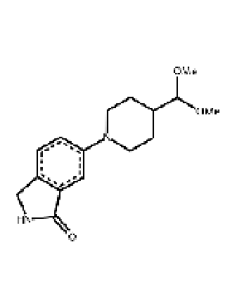 COC(OC)C1CCN(c2ccc3c(c2)C(=O)NC3)CC1